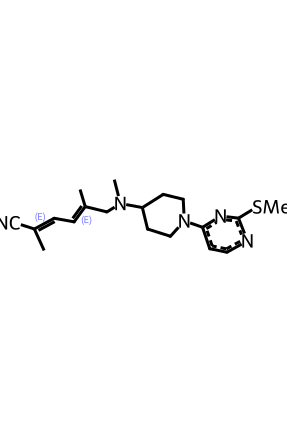 CSc1nccc(N2CCC(N(C)C/C(C)=C/C=C(\C)C#N)CC2)n1